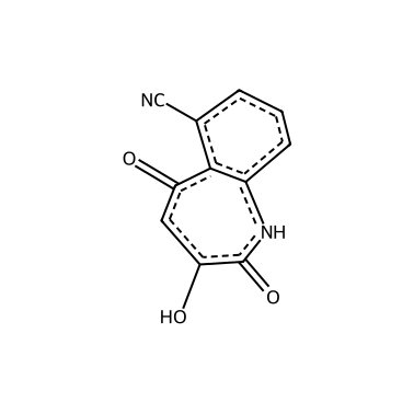 N#Cc1cccc2[nH]c(=O)c(O)cc(=O)c12